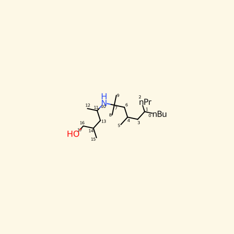 CCCCC(CCC)CC(C)CC(C)(C)NC(C)CC(C)CO